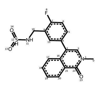 Cn1cc(-c2ccc(F)c(CN[SH](=O)=O)c2)c2ccccc2c1=O